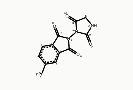 CCCc1ccc2c(c1)C(=O)N(N1C(=O)CNC1=O)C2=O